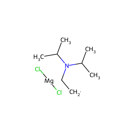 [CH2]CN(C(C)C)C(C)C.[Cl][Mg][Cl]